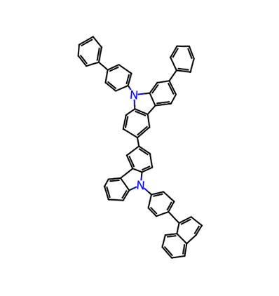 c1ccc(-c2ccc(-n3c4ccc(-c5ccc6c(c5)c5ccccc5n6-c5ccc(-c6cccc7ccccc67)cc5)cc4c4ccc(-c5ccccc5)cc43)cc2)cc1